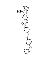 O=C(Oc1ccc(C(S)c2ncc[nH]2)cc1)N1CCC(COc2ccc(Oc3ccccn3)cc2)CC1